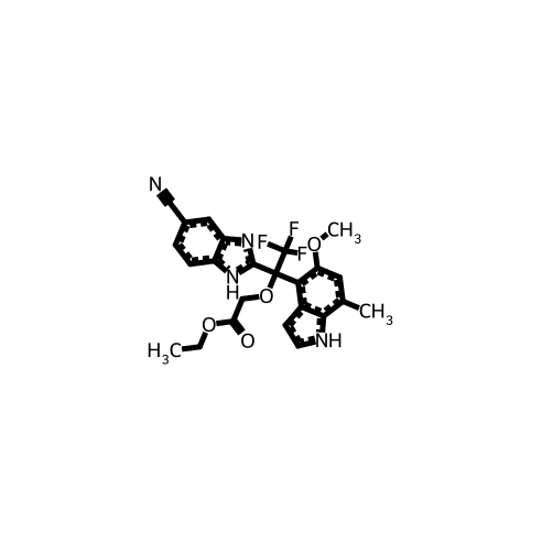 CCOC(=O)COC(c1nc2cc(C#N)ccc2[nH]1)(c1c(OC)cc(C)c2[nH]ccc12)C(F)(F)F